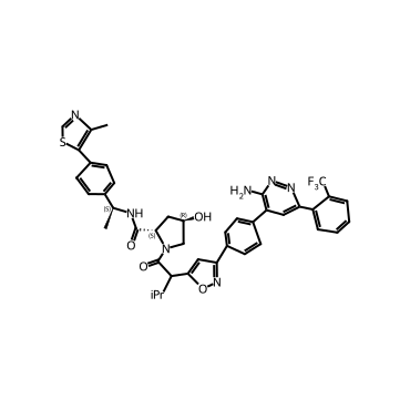 Cc1ncsc1-c1ccc([C@H](C)NC(=O)[C@@H]2C[C@@H](O)CN2C(=O)C(c2cc(-c3ccc(-c4cc(-c5ccccc5C(F)(F)F)nnc4N)cc3)no2)C(C)C)cc1